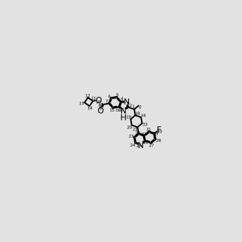 CC(c1nc2ccc(C(=O)OC3CCC3)cc2[nH]1)C1CCC(c2ccnc3ccc(F)cc23)CC1